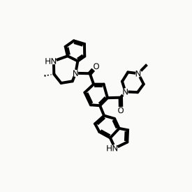 C[C@H]1CCN(C(=O)c2ccc(-c3ccc4[nH]ccc4c3)c(C(=O)N3CCN(C)CC3)c2)c2ccccc2N1